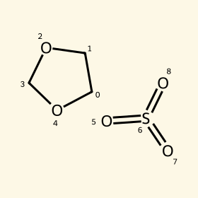 C1COCO1.O=S(=O)=O